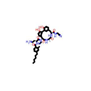 CCCCCCc1ccc(C(=O)N[C@@H](CCN)C(=O)N(CC)[C@@H]2C(=O)N[C@@H](C)C(=O)N[C@H](C(=O)NCC#N)Cc3ccc(O)c(c3)-c3cc2ccc3O)c(C)c1